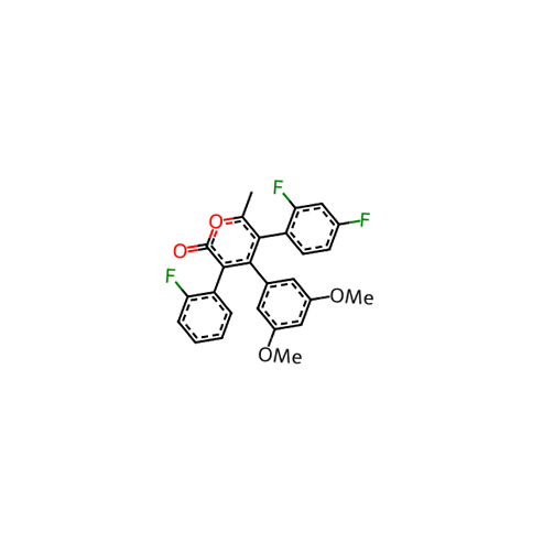 COc1cc(OC)cc(-c2c(-c3ccc(F)cc3F)c(C)oc(=O)c2-c2ccccc2F)c1